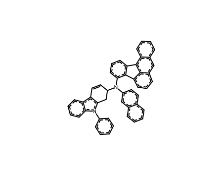 C1=CC(N(c2ccc3ccccc3c2)c2cccc3c2-c2cccc4cc5ccccc5c-3c24)Cc2c1c1ccccc1n2-c1ccccc1